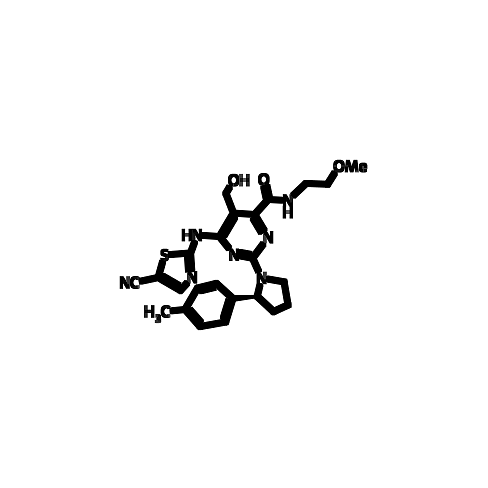 COCCNC(=O)c1nc(N2CCC[C@H]2c2ccc(C)cc2)nc(Nc2ncc(C#N)s2)c1CO